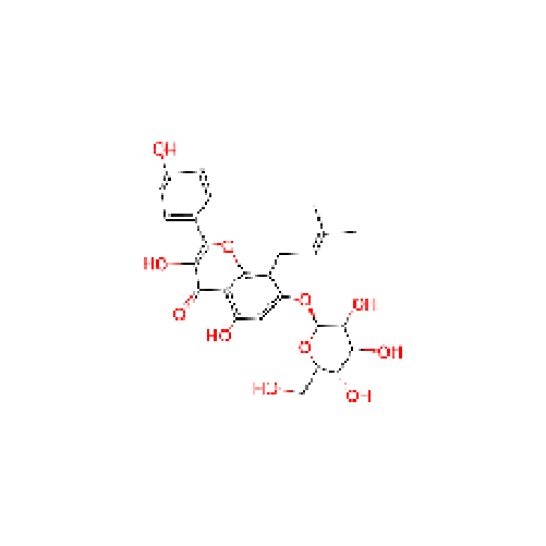 CC(C)=CCc1c(O[C@@H]2OC(CO)[C@@H](O)[C@H](O)C2O)cc(O)c2c(=O)c(O)c(-c3ccc(O)cc3)oc12